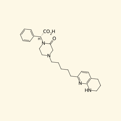 O=C(O)[C@@H](c1ccccc1)N1CCN(CCCCCc2ccc3c(n2)NCCC3)CC1=O